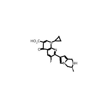 C[C@H]1Cn2cc(-c3nc4c(cc3F)c(=O)c(C(=O)O)cn4C3CC3)cc2CN1